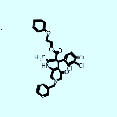 CC1=C(C(=O)OCCOc2ccccc2)C(c2cccc(Cl)c2Cl)C2=C(CN(Cc3ccccc3)CC2=O)N1.Cl